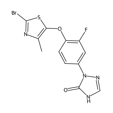 Cc1nc(Br)sc1Oc1ccc(-n2nc[nH]c2=O)cc1F